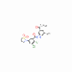 CCCc1cc(NC(=O)c2cc(N3CCCS3(=O)=O)cc(Cl)c2Cl)cc(C(=O)NC)c1